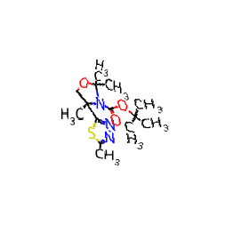 Cc1nnc([C@]2(C)COC(C)(C)N2C(=O)OC(C)(C)C)s1